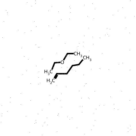 C=CCCCC.CCOCC